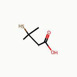 CC(C)(S)[CH]C(=O)O